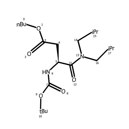 CCCCOC(=O)C[C@H](NC(=O)OC(C)(C)C)C(=O)N(CC(C)C)CC(C)C